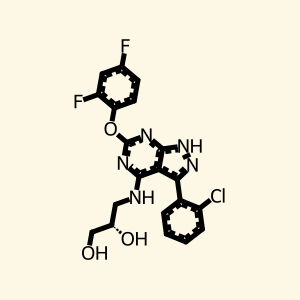 OC[C@@H](O)CNc1nc(Oc2ccc(F)cc2F)nc2[nH]nc(-c3ccccc3Cl)c12